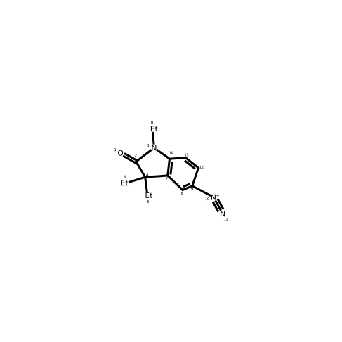 CCN1C(=O)C(CC)(CC)c2cc([N+]#N)ccc21